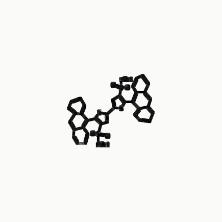 CCCCCCCCS(=O)(=O)c1cc(-c2cc(S(=O)(=O)CCCCCCCC)c(-c3c4ccccc4cc4ccccc34)s2)sc1-c1c2ccccc2cc2ccccc12